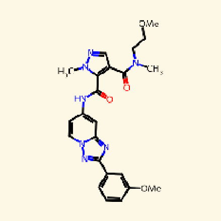 COCCN(C)C(=O)c1cnn(C)c1C(=O)Nc1ccn2nc(-c3cccc(OC)c3)nc2c1